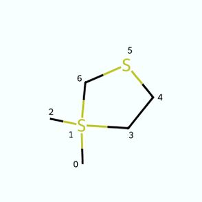 CS1(C)CCSC1